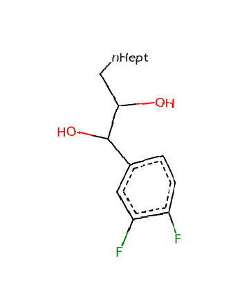 CCCCCCCCC(O)C(O)c1ccc(F)c(F)c1